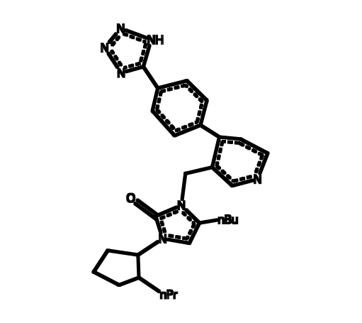 CCCCc1cn(C2CCCC2CCC)c(=O)n1Cc1cnccc1-c1ccc(-c2nnn[nH]2)cc1